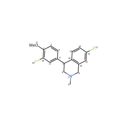 COc1ccc(C2CN(C)Cc3cc(F)ccc32)cc1F